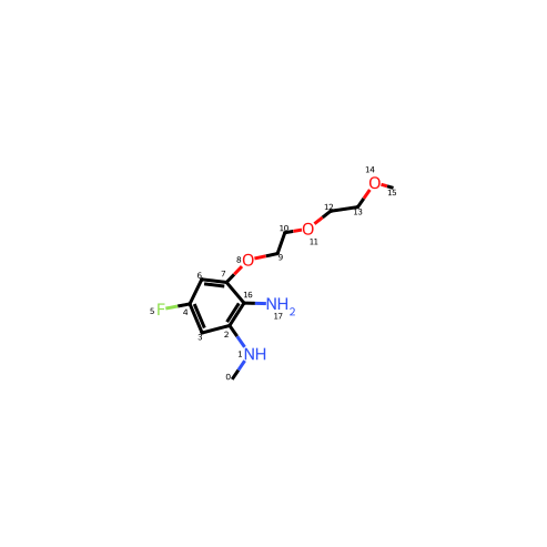 CNc1cc(F)cc(OCCOCCOC)c1N